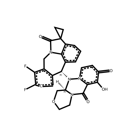 O=C1c2c(O)c(=O)ccn2N([C@@H]2c3ccc(F)c(F)c3CN3C(=O)C4(CC4)c4cccc2c43)[C@@H]2COCCN12